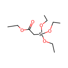 CCOC(=O)C[Si](OCC)(OCC)OCC